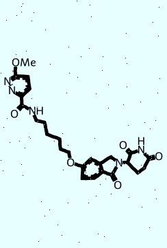 COc1ccc(C(=O)NCCCCCCOc2ccc3c(c2)CN(C2CCC(=O)NC2=O)C3=O)nn1